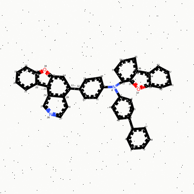 c1ccc(-c2ccc(N(c3ccc(-c4cc5oc6ccccc6c5c5cnccc45)cc3)c3cccc4c3oc3ccccc34)cc2)cc1